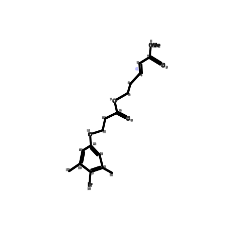 COC(=O)/C=C/CCOC(=O)CCOc1cc(C)c(Br)c(C)c1